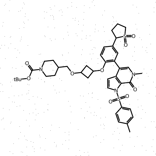 Cc1ccc(S(=O)(=O)n2ccc3c(-c4cc(C5CCCS5(=O)=O)ccc4OC4CC(OCC5CCN(C(=O)OC(C)(C)C)CC5)C4)cn(C)c(=O)c32)cc1